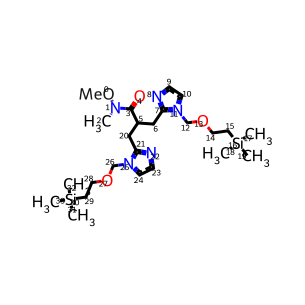 CON(C)C(=O)C(Cc1nccn1COCC[Si](C)(C)C)Cc1nccn1COCC[Si](C)(C)C